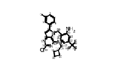 Cc1cccc(-c2cc3nc(Cl)nc(N[C@H](C)C4CCC4)c3n2Cc2ccc(C(F)(F)F)cc2N)c1